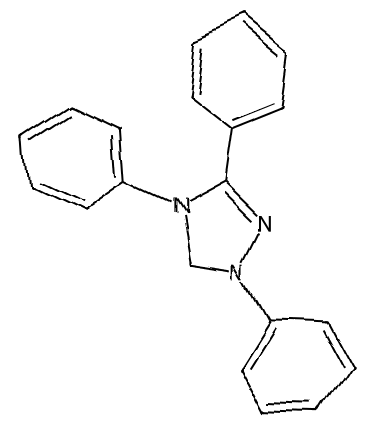 c1ccc(C2=NN(c3ccccc3)CN2c2ccccc2)cc1